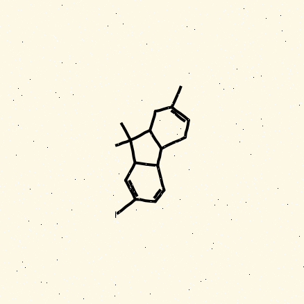 CC1=CCC2C3C=CC(I)=CC3C(C)(C)C2C1